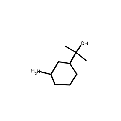 CC(C)(O)C1CCCC(N)C1